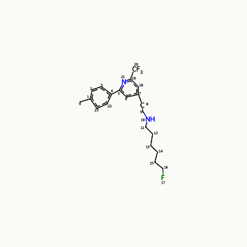 Cc1ccc(-c2cc(CCNCCCCCCF)cc(C(F)(F)F)n2)cc1